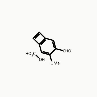 COc1cc2c(cc1C=O)C=C2.O=C(O)O